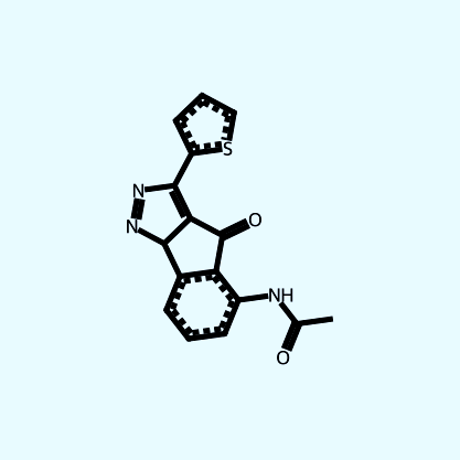 CC(=O)Nc1cccc2c1C(=O)C1=C(c3cccs3)N=NC12